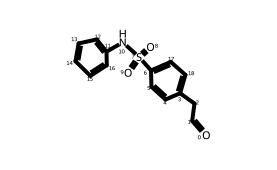 O=CCc1ccc(S(=O)(=O)Nc2ccccc2)cc1